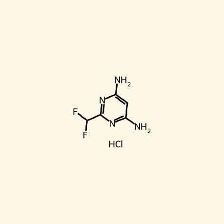 Cl.Nc1cc(N)nc(C(F)F)n1